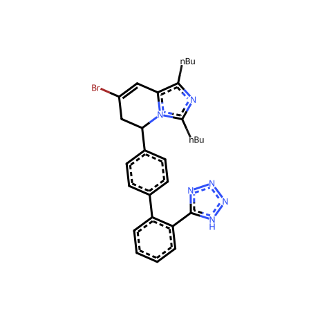 CCCCc1nc(CCCC)n2c1C=C(Br)CC2c1ccc(-c2ccccc2-c2nnn[nH]2)cc1